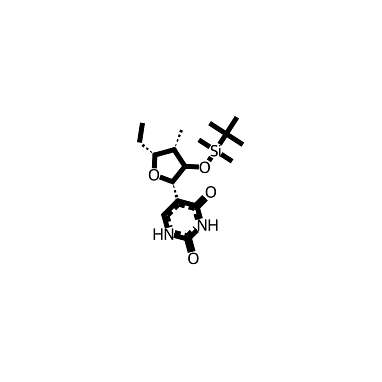 CC[C@H]1O[C@@H](c2c[nH]c(=O)[nH]c2=O)C(O[Si](C)(C)C(C)(C)C)[C@H]1C